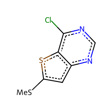 CSc1cc2ncnc(Cl)c2s1